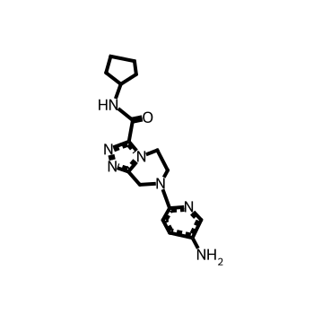 Nc1ccc(N2CCn3c(nnc3C(=O)NC3CCCC3)C2)nc1